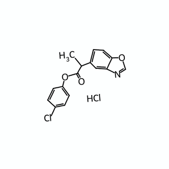 CC(C(=O)Oc1ccc(Cl)cc1)c1ccc2ocnc2c1.Cl